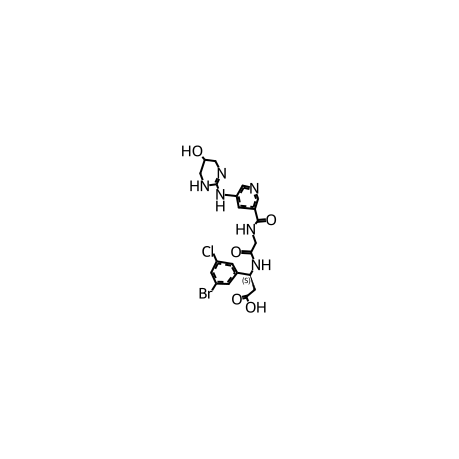 O=C(O)C[C@H](NC(=O)CNC(=O)c1cncc(NC2=NCC(O)CN2)c1)c1cc(Cl)cc(Br)c1